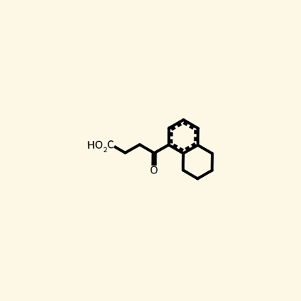 O=C(O)CCC(=O)c1cccc2c1CCCC2